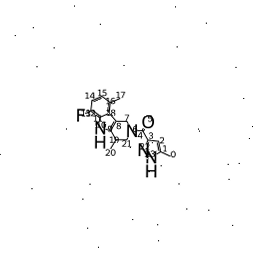 Cc1cc(C(=O)N2Cc3c([nH]c4c(F)ccc(C)c34)C(C)C2)n[nH]1